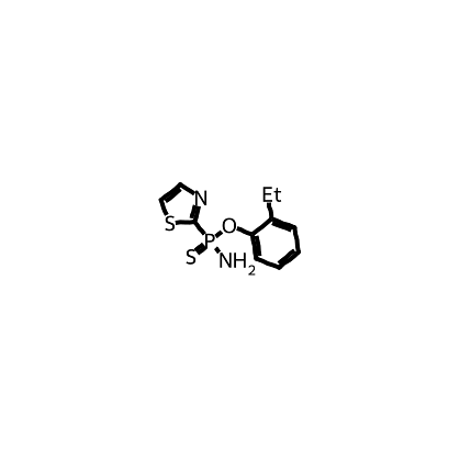 CCc1ccccc1OP(N)(=S)c1nccs1